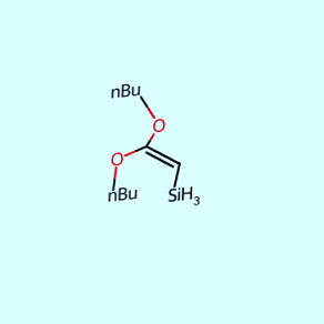 CCCCOC(=C[SiH3])OCCCC